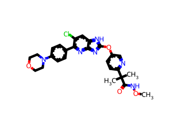 CONC(=O)C(C)(C)c1ccc(Oc2nc3nc(-c4ccc(N5CCOCC5)cc4)c(Cl)cc3[nH]2)cn1